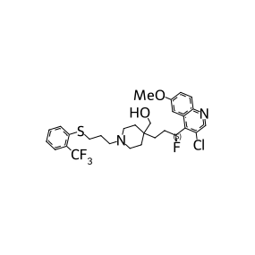 COc1ccc2ncc(Cl)c([C@@H](F)CCC3(CO)CCN(CCCSc4ccccc4C(F)(F)F)CC3)c2c1